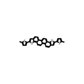 Cc1ccc(-c2cc3ccc4c5ccc6c(ccc7cc(-c8ccc(C)s8)oc76)c5ccc4c3o2)s1